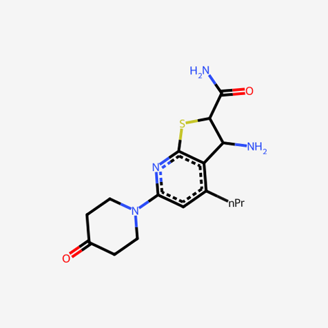 CCCc1cc(N2CCC(=O)CC2)nc2c1C(N)C(C(N)=O)S2